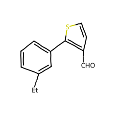 CCc1cccc(-c2sccc2C=O)c1